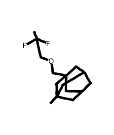 CC(F)(F)COCC12CC3CC(CC(C)(C3)C1)C2